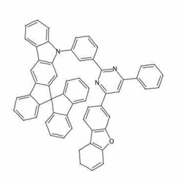 C1=Cc2oc3cc(-c4cc(-c5ccccc5)nc(-c5cccc(-n6c7ccccc7c7cc8c(cc76)C6(c7ccccc7-c7ccccc76)c6ccccc6-8)c5)n4)ccc3c2CC1